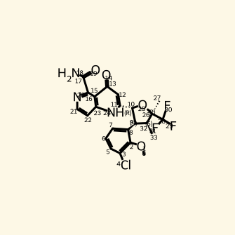 COc1c(Cl)cccc1[C@H]1[C@H](c2cc(=O)c3c(C(N)=O)nccc3[nH]2)O[C@@](C)(C(F)(F)F)[C@H]1C